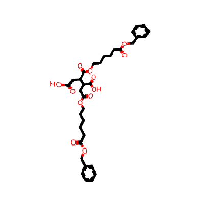 O=C(O)CC(C(=O)OCCCCCC(=O)OCc1ccccc1)C(CC(=O)OCCCCCC(=O)OCc1ccccc1)C(=O)O